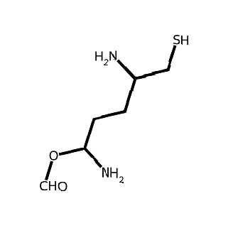 NC(CS)CCC(N)OC=O